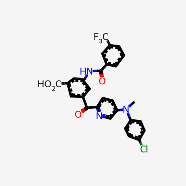 CN(c1ccc(Cl)cc1)c1ccc(C(=O)c2cc(NC(=O)c3cccc(C(F)(F)F)c3)cc(C(=O)O)c2)nc1